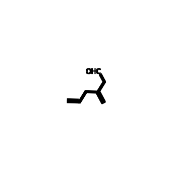 C=CCC(=C)CC=O